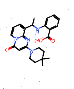 CC(Nc1ccccc1C(=O)O)c1cccn2c(=O)cc(N3CCC(C)(C)CC3)nc12